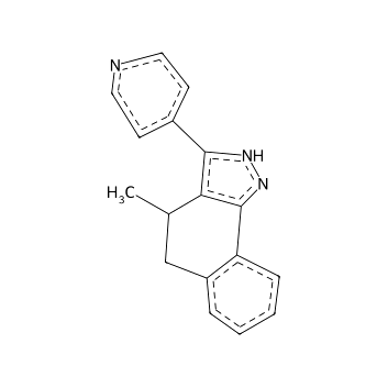 CC1Cc2ccccc2-c2n[nH]c(-c3ccncc3)c21